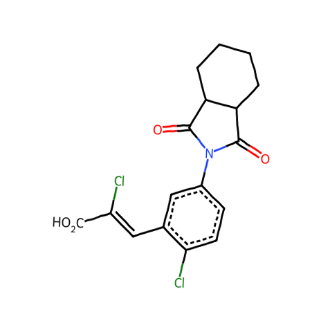 O=C(O)C(Cl)=Cc1cc(N2C(=O)C3CCCCC3C2=O)ccc1Cl